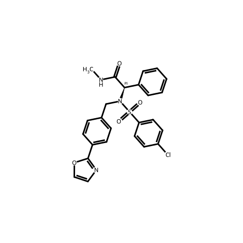 CNC(=O)[C@@H](c1ccccc1)N(Cc1ccc(-c2ncco2)cc1)S(=O)(=O)c1ccc(Cl)cc1